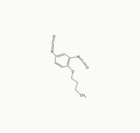 CCCCOc1ccc(N=C=O)cc1N=C=O